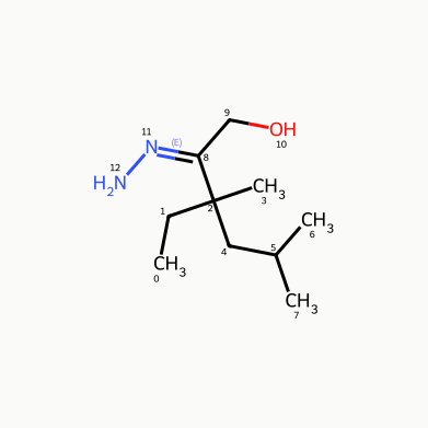 CCC(C)(CC(C)C)/C(CO)=N\N